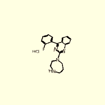 Cl.Fc1ccccc1-c1nc(N2CCCNCC2)nc2ccccc12